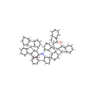 c1ccc(-c2ccccc2N(c2ccc3c(c2)C2(c4ccccc4-c4ccccc42)c2ccccc2-3)c2cccc3c2-c2ccccc2C32c3ccc4ccccc4c3Oc3c2ccc2ccccc32)cc1